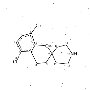 Clc1ccc(Cl)c2c1CCC1(CCNCC1)O2